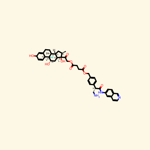 C[C@@H]1C[C@H]2[C@@H]3CCC4=CC(O)C=C[C@]4(C)[C@@]3(F)[C@@H](O)C[C@]2(C)[C@@]1(O)C(=O)COC(=O)CCC(=O)OCc1ccc([C@@H](CN)C(=O)Nc2ccc3cnccc3c2)cc1